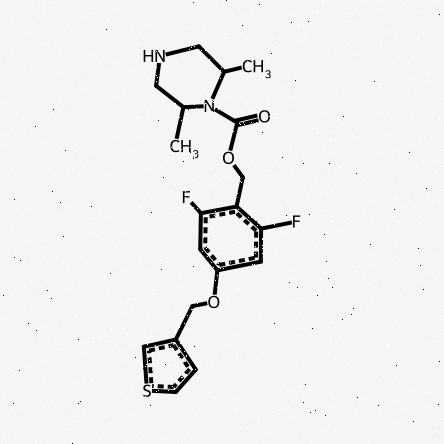 CC1CNCC(C)N1C(=O)OCc1c(F)cc(OCc2ccsc2)cc1F